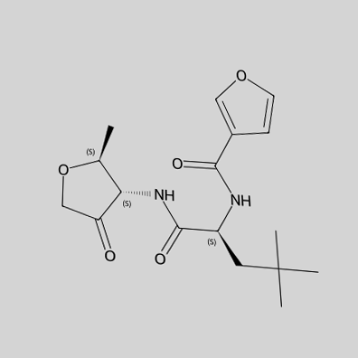 C[C@@H]1OCC(=O)[C@H]1NC(=O)[C@H](CC(C)(C)C)NC(=O)c1ccoc1